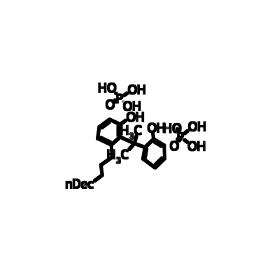 CCCCCCCCCCCCCc1cccc(O)c1C(C)(C)c1ccccc1O.O=P(O)(O)O.O=P(O)(O)O